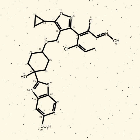 C\C=C(Cl)/C(=C(Cl)\C=N\O)c1noc(C2CC2)c1COC1CCC(O)(c2nc3cc(C(=O)O)ccc3s2)CC1